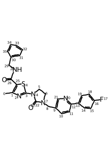 Cc1nc(N2CCN(Cc3ccc(-c4ccc(F)cc4)nc3)C2=O)sc1C(=O)NCc1ccccc1